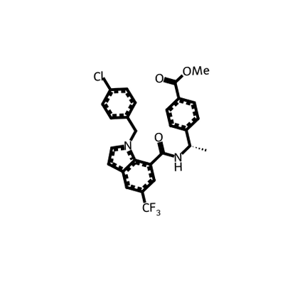 COC(=O)c1ccc([C@H](C)NC(=O)c2cc(C(F)(F)F)cc3ccn(Cc4ccc(Cl)cc4)c23)cc1